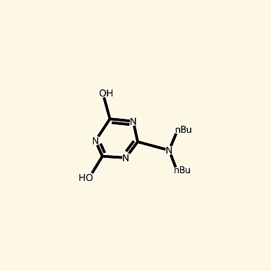 CCCCN(CCCC)c1nc(O)nc(O)n1